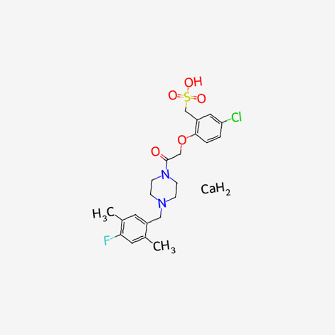 Cc1cc(CN2CCN(C(=O)COc3ccc(Cl)cc3CS(=O)(=O)O)CC2)c(C)cc1F.[CaH2]